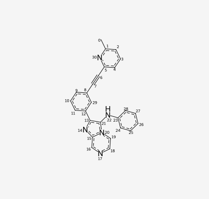 Cc1cccc(C#Cc2cccc(-c3nc4cnccn4c3Nc3ccccc3)c2)n1